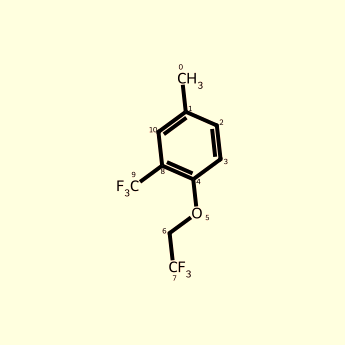 Cc1ccc(OCC(F)(F)F)c(C(F)(F)F)c1